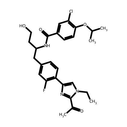 CCn1cc(-c2ccc(CC(CCO)NC(=O)c3ccc(OC(C)C)c(Cl)c3)cc2F)nc1C(C)=O